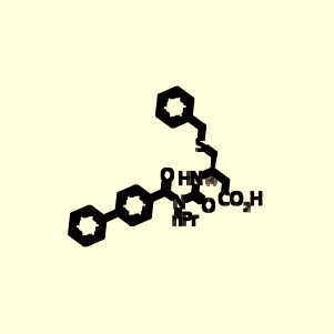 CCCN(C(=O)N[C@@H](CSCc1ccccc1)CC(=O)O)C(=O)c1ccc(-c2ccccc2)cc1